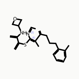 C=C(NC1COC1)C(=C)SC(/N=C\C)=C(\C)C(=C)CCCc1ccccc1C